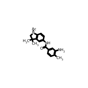 CC(=O)N1CC(C)(C)c2cc(NC(=O)c3ccc(C)c(N)c3)ccc21